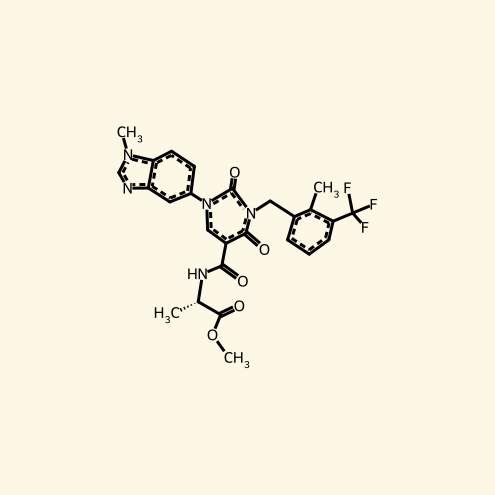 COC(=O)[C@H](C)NC(=O)c1cn(-c2ccc3c(c2)ncn3C)c(=O)n(Cc2cccc(C(F)(F)F)c2C)c1=O